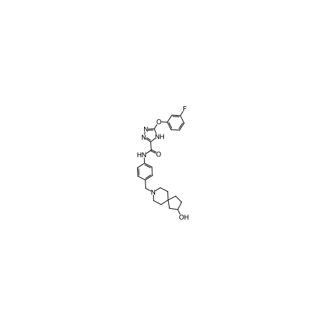 O=C(Nc1ccc(CN2CCC3(CCC(O)C3)CC2)cc1)c1nnc(Oc2cccc(F)c2)[nH]1